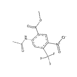 COC(=O)c1cc([N+](=O)[O-])c(C(F)(F)F)cc1NC(C)=O